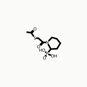 CC(=O)SCC(=O)N1CCCCC1P(=O)(O)O